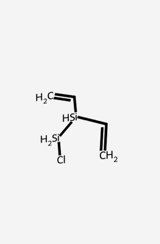 C=C[SiH](C=C)[SiH2]Cl